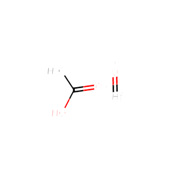 CC(=O)O.[O]=[Hf]